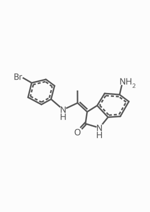 C/C(Nc1ccc(Br)cc1)=C1/C(=O)Nc2ccc(N)cc21